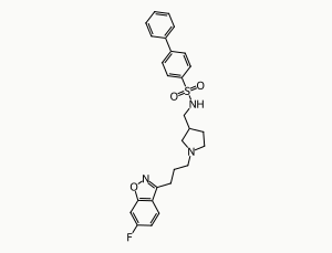 O=S(=O)(NCC1CCN(CCCc2noc3cc(F)ccc23)C1)c1ccc(-c2ccccc2)cc1